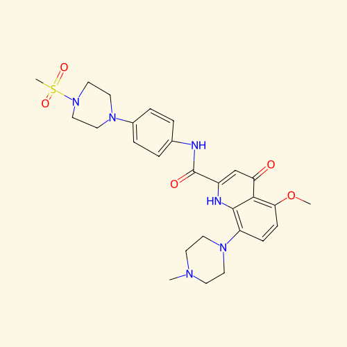 COc1ccc(N2CCN(C)CC2)c2[nH]c(C(=O)Nc3ccc(N4CCN(S(C)(=O)=O)CC4)cc3)cc(=O)c12